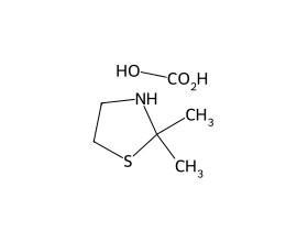 CC1(C)NCCS1.O=C(O)O